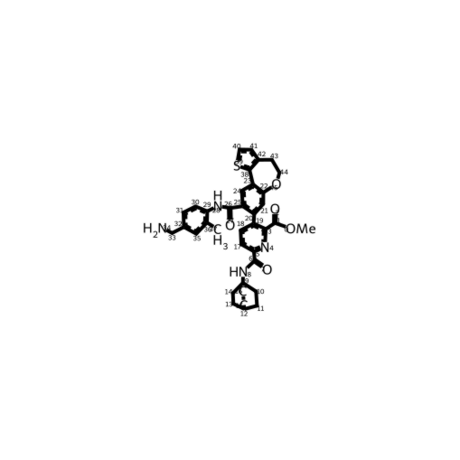 COC(=O)c1nc(C(=O)NC23CCC(CC2)CC3)ccc1-c1cc2c(cc1C(=O)Nc1ccc(CN)cc1C)-c1sccc1CCO2